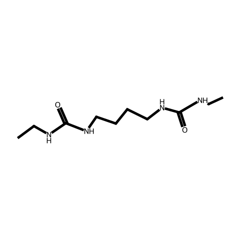 CCNC(=O)NCCCCNC(=O)NCC